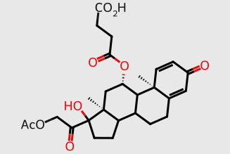 CC(=O)OCC(=O)C1(O)CCC2C3CCC4=CC(=O)C=C[C@]4(C)C3[C@@H](OC(=O)CCC(=O)O)C[C@@]21C